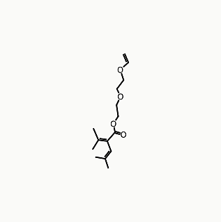 C=COCCOCCOC(=O)C(C=C(C)C)=C(C)C